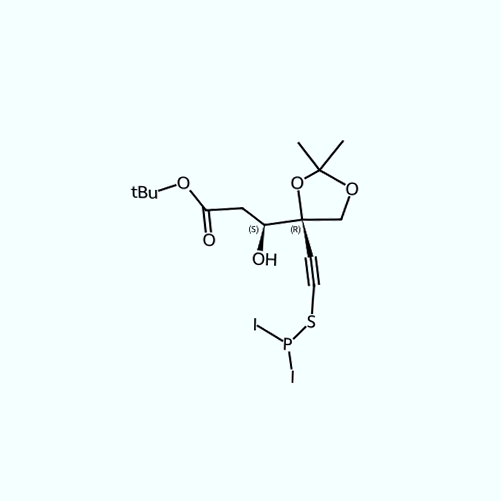 CC(C)(C)OC(=O)C[C@H](O)[C@@]1(C#CSP(I)I)COC(C)(C)O1